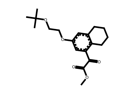 COC(=O)C(=O)c1cc(OCCOC(C)(C)C)cc2c1CCCC2